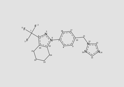 FC(F)(F)c1nn(-c2ccc(Cn3cncn3)cc2)c2c1CCCC2